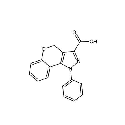 O=C(O)c1nn(-c2ccccc2)c2c1COc1ccccc1-2